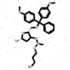 [3H][C@H]1CC(OP(C)OCCCBr)[C@@H](COC(c2ccccc2)(c2ccc(OC)cc2)c2ccc(OC)cc2)O1